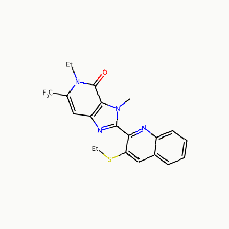 CCSc1cc2ccccc2nc1-c1nc2cc(C(F)(F)F)n(CC)c(=O)c2n1C